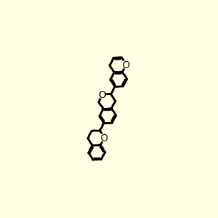 C1=COc2ccc(C3Cc4ccc(C5CCc6ccccc6O5)cc4CO3)cc2C1